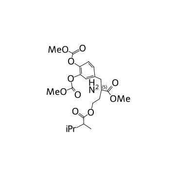 COC(=O)Oc1ccc(C[C@](N)(CCOC(=O)C(C)C(C)C)C(=O)OC)cc1OC(=O)OC